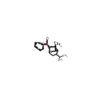 CC(C)C1CC2C(C(=O)O)CC1C(C)N2Cc1ccccc1